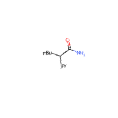 CCCCC(C(N)=O)C(C)C